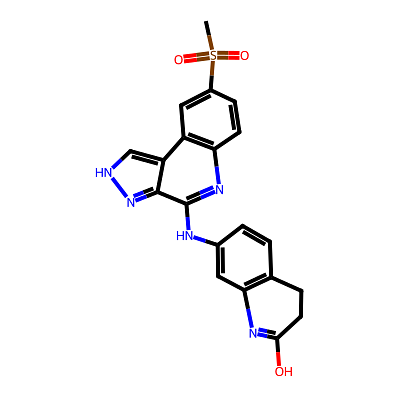 CS(=O)(=O)c1ccc2nc(Nc3ccc4c(c3)N=C(O)CC4)c3n[nH]cc3c2c1